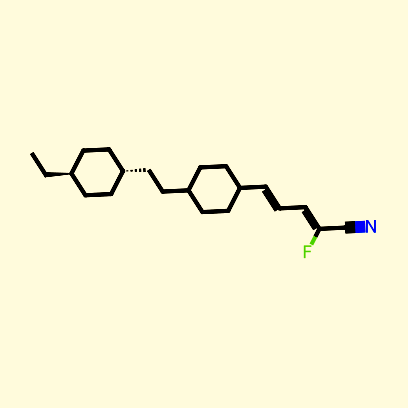 CC[C@H]1CC[C@H](CCC2CCC(C=CC=C(F)C#N)CC2)CC1